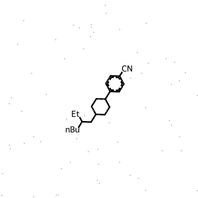 CCCCC(CC)CC1CCC(c2ccc(C#N)cc2)CC1